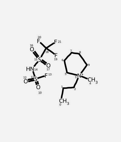 CCC[N+]1(C)CCCCC1.O=S(=O)(F)NS(=O)(=O)C(F)(F)F